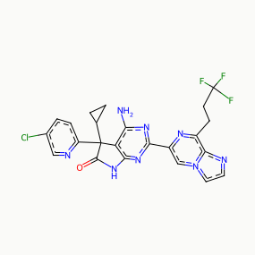 Nc1nc(-c2cn3ccnc3c(CCC(F)(F)F)n2)nc2c1C(c1ccc(Cl)cn1)(C1CC1)C(=O)N2